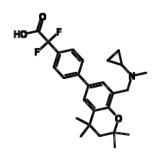 CN(Cc1cc(-c2ccc(C(F)(F)C(=O)O)cc2)cc2c1OC(C)(C)CC2(C)C)C1CC1